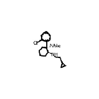 CN[C@@]1(c2ccccc2Cl)CCCC[C@@H]1NCCC1CC1